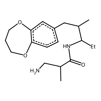 CCC(NC(=O)C(C)CN)C(C)Cc1ccc2c(c1)OCCCO2